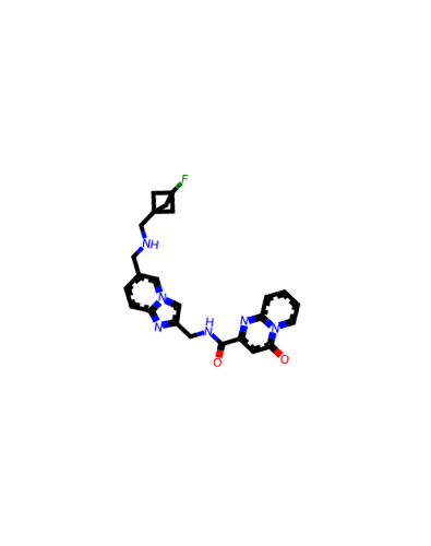 O=C(NCc1cn2cc(CNCC34CC(F)(C3)C4)ccc2n1)c1cc(=O)n2ccccc2n1